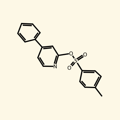 Cc1ccc(S(=O)(=O)Oc2cc(-c3ccccc3)ccn2)cc1